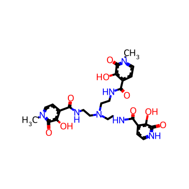 Cn1ccc(C(=O)NCCN(CCNC(=O)c2cc[nH]c(=O)c2O)CCNC(=O)c2ccn(C)c(=O)c2O)c(O)c1=O